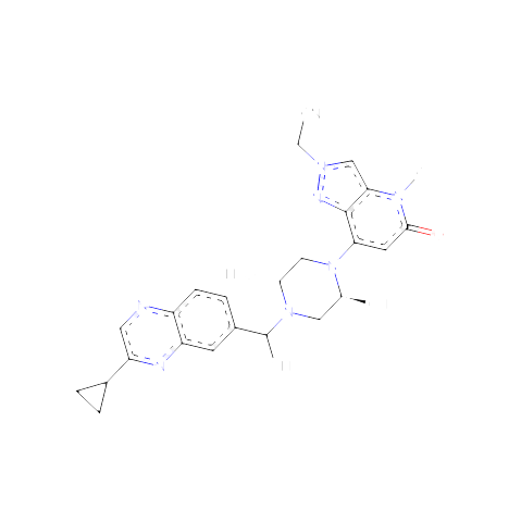 CC(c1ccc2ncc(C3CC3)nc2c1)N1C[C@H](C)N(c2cc(=O)n(C)c3cn(CC#N)nc23)C[C@H]1C